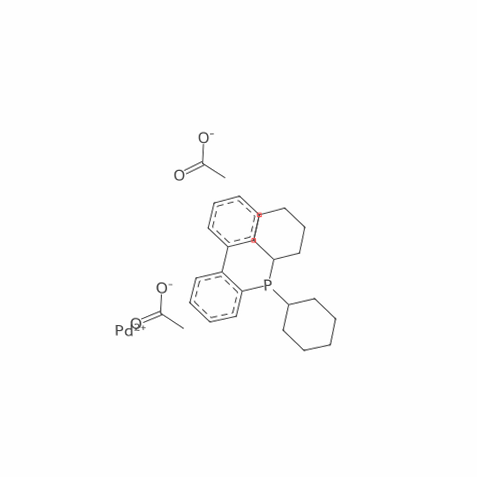 CC(=O)[O-].CC(=O)[O-].[Pd+2].c1ccc(-c2ccccc2P(C2CCCCC2)C2CCCCC2)cc1